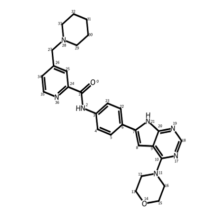 O=C(Nc1ccc(-c2cc3c(N4CCOCC4)ncnc3[nH]2)cc1)c1cc(CN2CCCCC2)ccn1